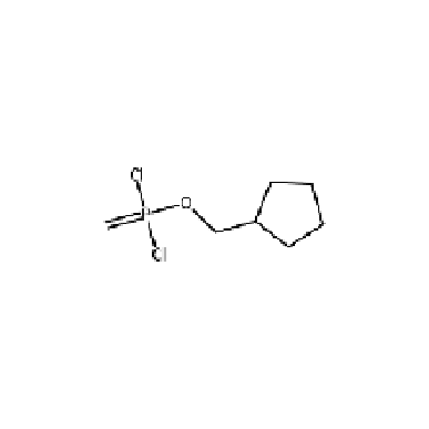 C=P(Cl)(Cl)OCC1CCCC1